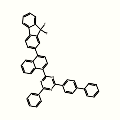 FC1(F)c2ccccc2-c2ccc(-c3ccc(-c4nc(-c5ccccc5)nc(-c5ccc(-c6ccccc6)cc5)n4)c4ccccc34)cc21